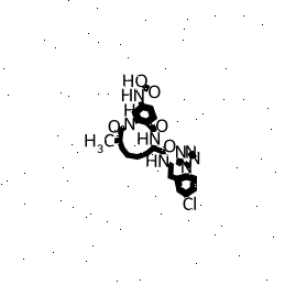 CC1CCCCC(C(=O)NCCc2cc(Cl)ccc2-n2cnnn2)NC(=O)c2ccc(NC(=O)O)cc2NC1=O